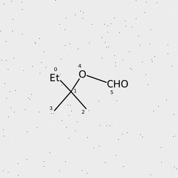 CCC(C)(C)OC=O